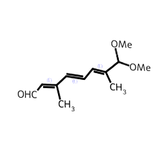 COC(OC)/C(C)=C/C=C/C(C)=C/C=O